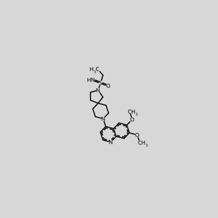 CCS(=N)(=O)N1CCC2(CCN(c3ccnc4cc(OC)c(OC)cc34)CC2)C1